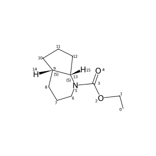 CCOC(=O)N1CCC[C@@H]2CCC[C@@H]21